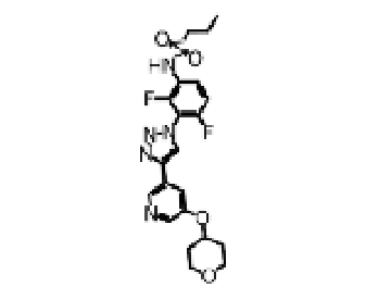 CCCS(=O)(=O)Nc1ccc(F)c(-n2cc(-c3cncc(OC4CCOCC4)c3)nn2)c1F